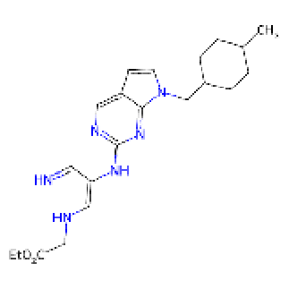 CCOC(=O)CN/C=C(\C=N)Nc1ncc2ccn(CC3CCC(C)CC3)c2n1